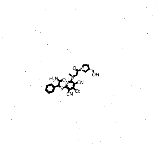 CCc1c(C#N)c(SC(C(N)=O)c2ccccc2)nc(N(C)CC(=O)N2CC[C@H](CO)C2)c1C#N